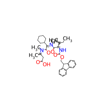 CC[C@H](C)[C@H](NC(=O)OCC1c2ccccc2-c2ccccc21)C(=O)N(C)[C@H](C(=O)N(C)[C@H](C)CC(=O)O)C1CCCCC1